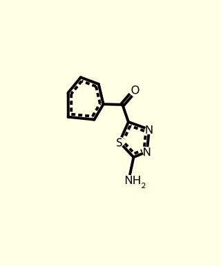 Nc1nnc(C(=O)c2ccccc2)s1